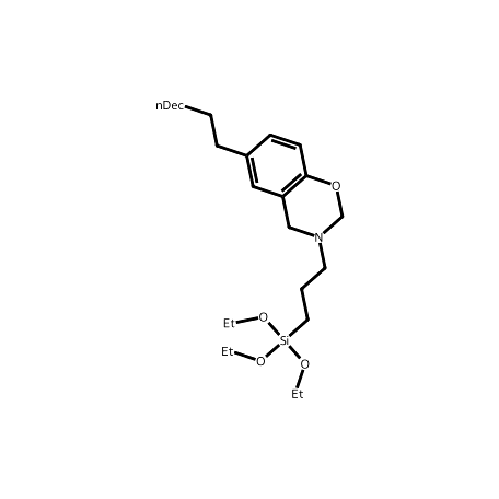 CCCCCCCCCCCCc1ccc2c(c1)CN(CCC[Si](OCC)(OCC)OCC)CO2